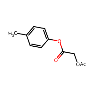 CC(=O)OCC(=O)Oc1ccc(C)cc1